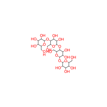 OCC1OC(OC2OC(CO)C(OC3OC(CO)C(OC4OC(CO)C(O)C(O)C4O)C(O)C3O)C(O)C2O)C(O)C(O)C1O